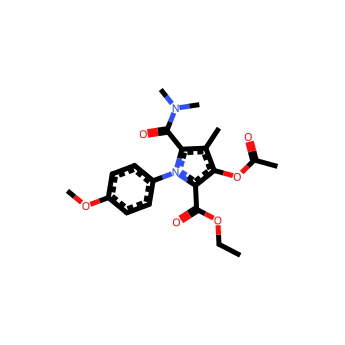 CCOC(=O)c1c(OC(C)=O)c(C)c(C(=O)N(C)C)n1-c1ccc(OC)cc1